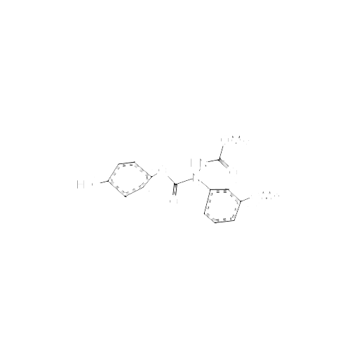 COC(=O)NN(C(=O)Oc1ccc(C)cc1)c1cccc(OC)c1